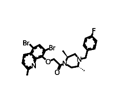 Cc1ccc2c(Br)cc(Br)c(OCC(=O)N3C[C@@H](C)N(Cc4ccc(F)cc4)C[C@@H]3C)c2n1